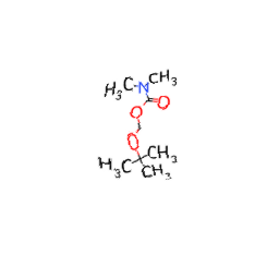 CN(C)C(=O)OCOC(C)(C)C